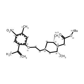 C=C(C)c1cc([N+](=O)[O-])c(C)cc1OCCN1C[C@@H](C)N(CC(=O)OC(C)(C)C)[C@@H](C)C1